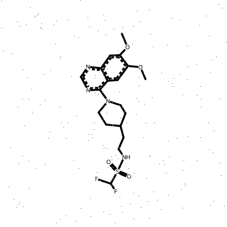 COc1cc2ncnc(N3CCC(CCNS(=O)(=O)C(F)F)CC3)c2cc1OC